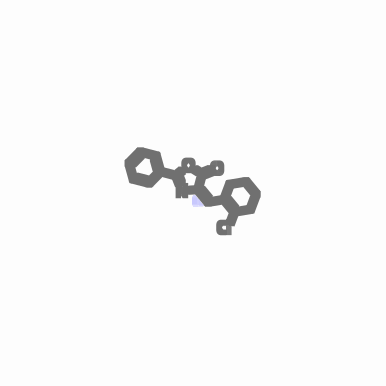 O=C1OC(c2ccccc2)=N/C1=C/C1=C(Cl)CCCC1